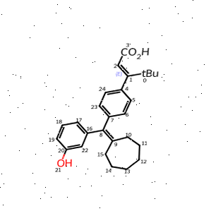 CC(C)(C)/C(=C\C(=O)O)c1ccc(C(=C2CCCCCC2)c2cccc(O)c2)cc1